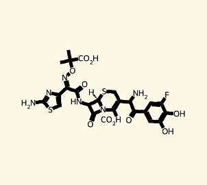 CC(C)(O/N=C(\C(=O)NC1C(=O)N2C(C(=O)O)=C(C(N)C(=O)c3cc(O)c(O)c(F)c3)CS[C@H]12)c1csc(N)n1)C(=O)O